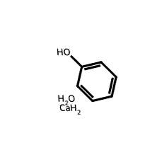 O.Oc1ccccc1.[CaH2]